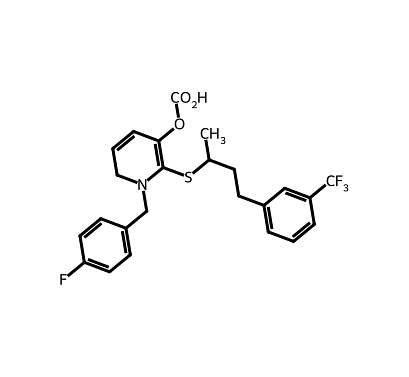 CC(CCc1cccc(C(F)(F)F)c1)SC1=C(OC(=O)O)C=CCN1Cc1ccc(F)cc1